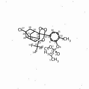 COP(=O)(OC)Oc1cc(C2(OCC(F)(F)F)OOC23C2CC4CC3CC(Cl)(C4)C2)ccc1C